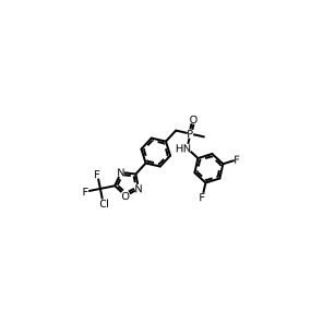 CP(=O)(Cc1ccc(-c2noc(C(F)(F)Cl)n2)cc1)Nc1cc(F)cc(F)c1